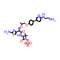 CC(COc1ccc(-c2ccc(NCCN)[n+](C)c2)cc1)O/N=C(\C(=O)NC1C(=O)N(OS(=O)(=O)[O-])C1(C)C)c1csc(N)n1